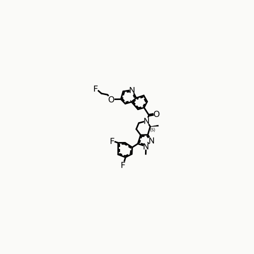 C[C@H]1c2nn(C)c(-c3cc(F)cc(F)c3)c2CCN1C(=O)c1ccc2ncc(OCCF)cc2c1